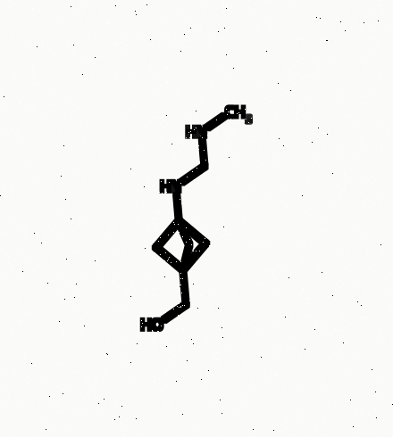 CNCNC12CC(CO)(C1)C2